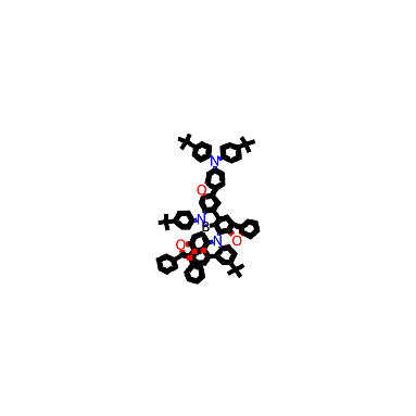 CC(C)(C)c1ccc(N2B3c4cc5oc(-c6ccccc6)c(-c6ccccc6)c5cc4N(c4ccc(C(C)(C)C)cc4-c4ccccc4)c4c3c(cc3c4oc4ccccc43)-c3cc4c(cc32)oc2cc(N(c3ccc(C(C)(C)C)cc3)c3ccc(C(C)(C)C)cc3)ccc24)cc1